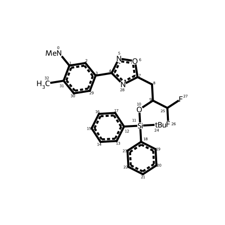 CNc1cc(-c2noc(CC(O[Si](c3ccccc3)(c3ccccc3)C(C)(C)C)C(F)F)n2)ccc1C